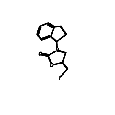 O=C1OC(CI)CN1C1CCc2ccccc21